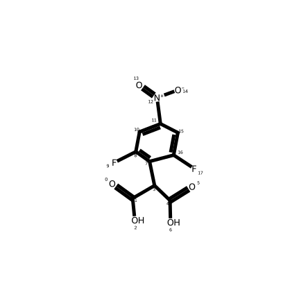 O=C(O)C(C(=O)O)c1c(F)cc([N+](=O)[O-])cc1F